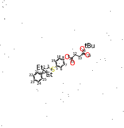 CC[Si](CC)(CSc1ccc(OC(=O)CCC(=O)OC(C)(C)C)cc1)c1ccccc1